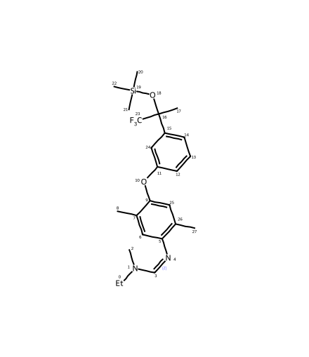 CCN(C)/C=N\c1cc(C)c(Oc2cccc(C(C)(O[Si](C)(C)C)C(F)(F)F)c2)cc1C